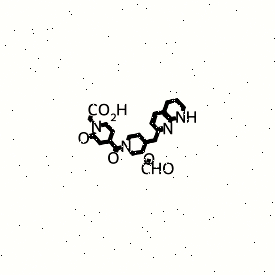 O=COC1CN(C(=O)C2CCN(CC(=O)O)C(=O)C2)CCC1Cc1ccc2c(n1)NCCC2